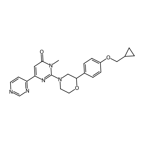 Cn1c(N2CCOC(c3ccc(OCC4CC4)cc3)C2)nc(-c2ccncn2)cc1=O